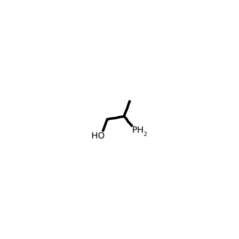 CC(P)CO